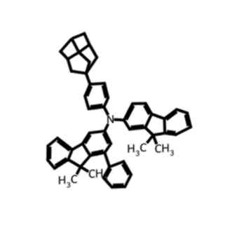 CC1(C)c2ccccc2-c2ccc(N(c3ccc(C45CC6CC7CC(C4)C76C5)cc3)c3cc(-c4ccccc4)c4c(c3)-c3ccccc3C4(C)C)cc21